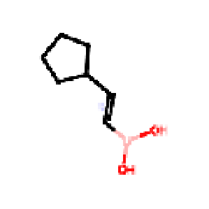 OB(O)/C=C/C1CCCC1